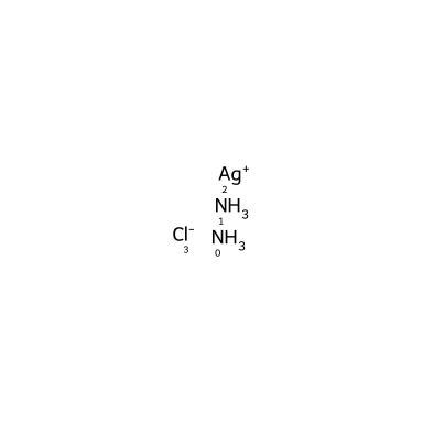 N.N.[Ag+].[Cl-]